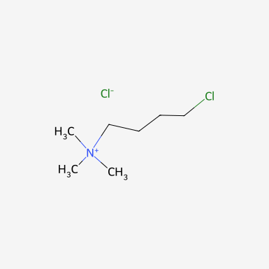 C[N+](C)(C)CCCCCl.[Cl-]